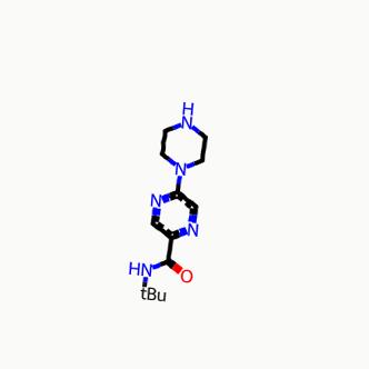 CC(C)(C)NC(=O)c1cnc(N2CCNCC2)cn1